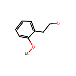 CCOc1ccccc1CC[O]